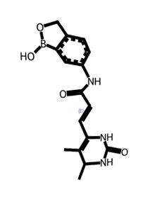 CC1=C(/C=C/C(=O)Nc2ccc3c(c2)B(O)OC3)NC(=O)NC1C